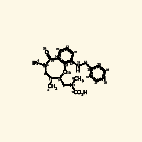 CC(C)N1C[C@@H](C)[C@H](CN(C)C(=O)O)Oc2c(NCc3ccncc3)cccc2C1=O